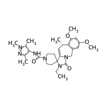 CCN1C(=O)N2Cc3cc(OC)cc(OC)c3[C@@H](C)C=C2C12CCN(C(=O)Nc1c(C)nn(C)c1C)CC2